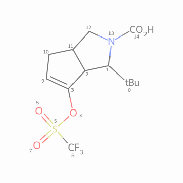 CC(C)(C)C1C2C(OS(=O)(=O)C(F)(F)F)=CCC2CN1C(=O)O